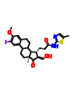 COc1cc2c(cc1I)C1CC[C@]3(C)C(=O)/C(=C/O)[C@@H](CCC(=O)Nc4ncc(C)s4)C3C1CC2